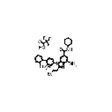 CCC=Cc1nc2c(N)cc(C(=O)NC3CCCCC3)cc2n1-c1ccc(-c2ccccc2C(=O)O)c(C)c1.O=C(O)C(F)(F)F